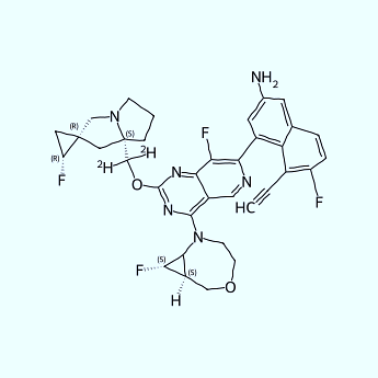 [2H]C([2H])(Oc1nc(N2CCOC[C@@H]3C2[C@H]3F)c2cnc(-c3cc(N)cc4ccc(F)c(C#C)c34)c(F)c2n1)[C@@]12CCCN1C[C@]1(C[C@H]1F)C2